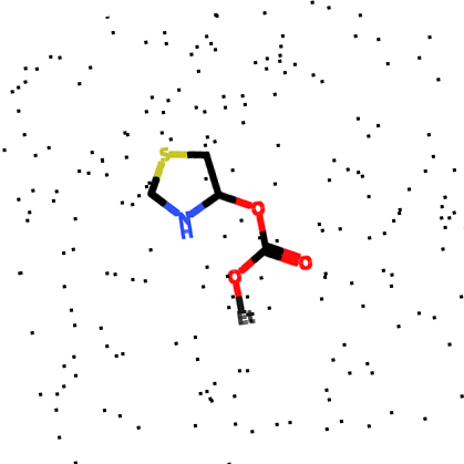 CCOC(=O)OC1CSCN1